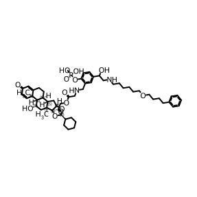 C[C@]12C=CC(=O)C=C1CC[C@@H]1[C@@H]2[C@@H](O)C[C@@]2(C)[C@H]1C[C@H]1O[C@@H](C3CCCCC3)O[C@]12C(=O)COC(=O)CNCc1cc(C(O)CNCCCCCCOCCCCc2ccccc2)ccc1OP(=O)(O)O